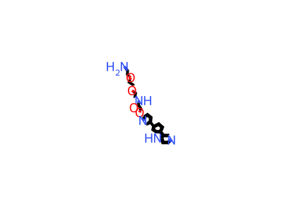 NCCOCCOCCNC(=O)COc1ccc(-c2ccc3c(c2)[nH]c2ccncc23)cn1